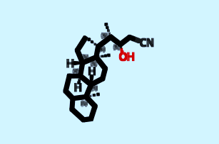 C[C@@H]([C@H]1CC[C@H]2[C@@H]3CCC4CCCC[C@]4(C)[C@H]3CC[C@]12C)[C@@H](O)CC#N